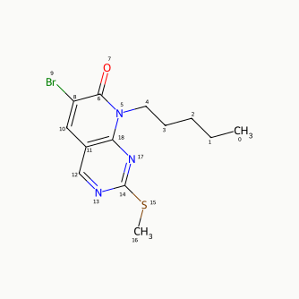 CCCCCn1c(=O)c(Br)cc2cnc(SC)nc21